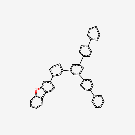 c1ccc(-c2ccc(-c3cc(-c4ccc(-c5ccccc5)cc4)cc(-c4cccc(-c5ccc6c(c5)oc5ccccc56)c4)c3)cc2)cc1